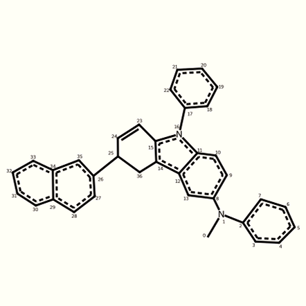 CN(c1ccccc1)c1ccc2c(c1)c1c(n2-c2ccccc2)C=CC(c2ccc3ccccc3c2)C1